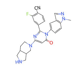 Cn1ncc2cc(-n3c(-c4ccc(C#N)c(F)c4)nc(N4CCC5CNCC5C4)cc3=O)ccc21